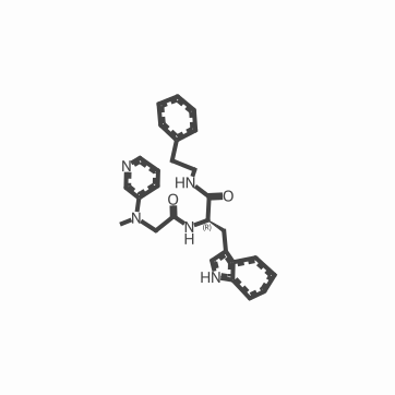 CN(CC(=O)N[C@H](Cc1c[nH]c2ccccc12)C(=O)NCCc1ccccc1)c1cccnc1